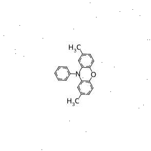 Cc1ccc2c(c1)N(c1ccccc1)c1cc(C)ccc1O2